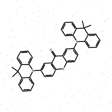 CC1(C)c2ccccc2N(c2ccc3sc4ccc(N5c6ccccc6C(C)(C)c6ccccc65)cc4c(=O)c3c2)c2ccccc21